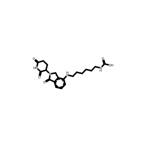 O=C(O)NCCCCCCNc1cccc2c1CN(C1CCC(=O)NC1=O)C2=O